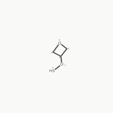 SOC1COC1